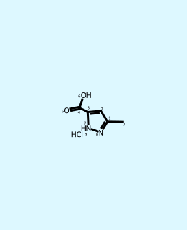 Cc1cc(C(=O)O)[nH]n1.Cl